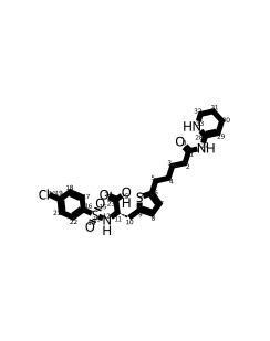 O=C(CCCCc1ccc(C[C@H](NS(=O)(=O)c2ccc(Cl)cc2)C(=O)O)s1)NC1=CCCCN1